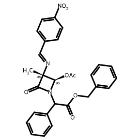 CC(=O)O[C@H]1N(C(C(=O)OCc2ccccc2)c2ccccc2)C(=O)[C@]1(C)N=Cc1ccc([N+](=O)[O-])cc1